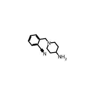 N#Cc1ccccc1CN1CCC(N)CC1